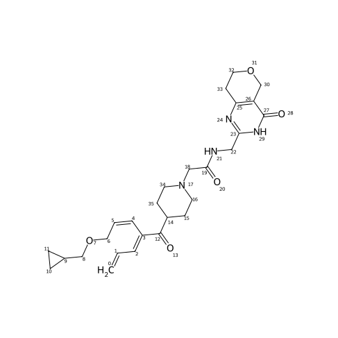 C=C/C=C(\C=C/COCC1CC1)C(=O)C1CCN(CC(=O)NCc2nc3c(c(=O)[nH]2)COCC3)CC1